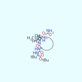 CC(C)(C)OC(=O)[C@@H](NC(=O)N[C@H]1CCCCCCCCCC[C@@H](C(=O)C(N)=O)NC(=O)[C@@H]2[C@@H]3[C@H](CN2C1=O)C3(C)C)C(C)(C)C